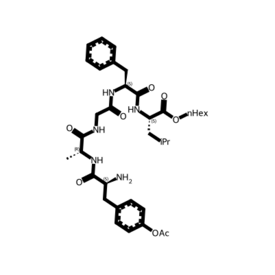 CCCCCCOC(=O)[C@H](CC(C)C)NC(=O)[C@H](Cc1ccccc1)NC(=O)CNC(=O)[C@@H](C)NC(=O)[C@@H](N)Cc1ccc(OC(C)=O)cc1